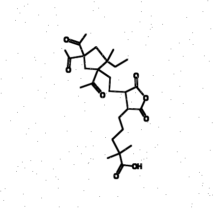 CCC1(C)CC(C(C)=O)(C(C)=O)CC1(CCC1C(=O)OC(=O)C1CCCC(C)(C)C(=O)O)C(C)=O